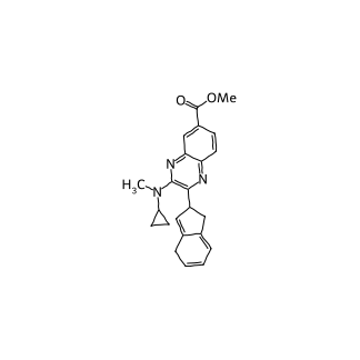 COC(=O)c1ccc2nc(C3C=C4CC=CC=C4C3)c(N(C)C3CC3)nc2c1